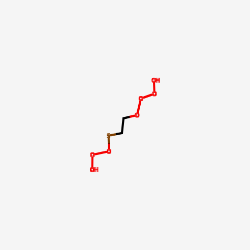 OOOOCCSOOO